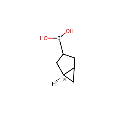 OB(O)C1CC2C[C@H]2C1